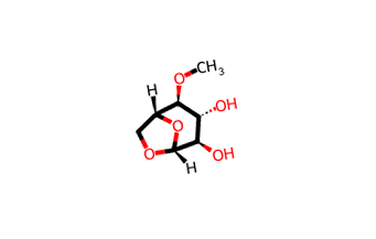 CO[C@H]1[C@H](O)[C@@H](O)[C@@H]2OC[C@H]1O2